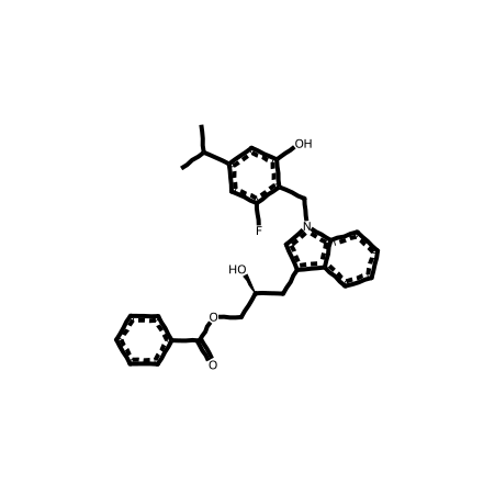 CC(C)c1cc(O)c(Cn2cc(C[C@H](O)COC(=O)c3ccccc3)c3ccccc32)c(F)c1